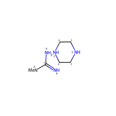 C1CNCCN1.CNC(=N)N